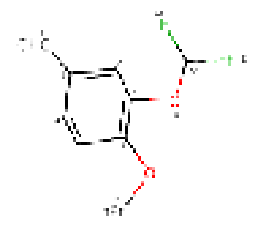 CCCOc1ccc(C=O)cc1OC(F)F